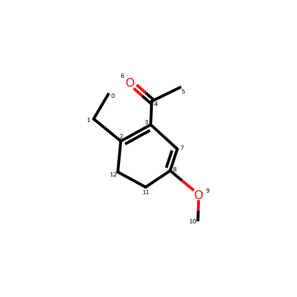 CCC1=C(C(C)=O)C=C(OC)CC1